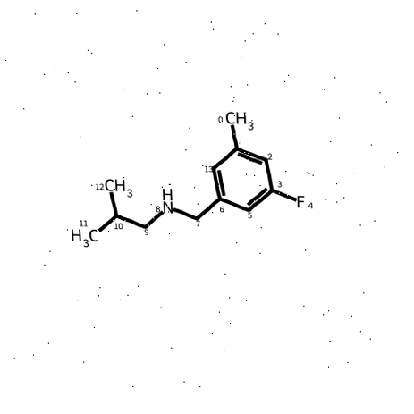 Cc1cc(F)cc(CNCC(C)C)c1